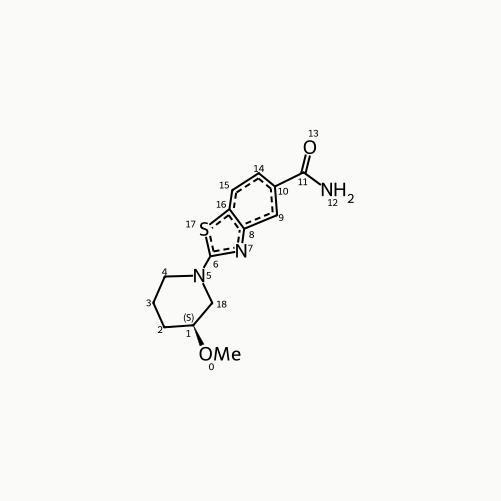 CO[C@H]1CCCN(c2nc3cc(C(N)=O)ccc3s2)C1